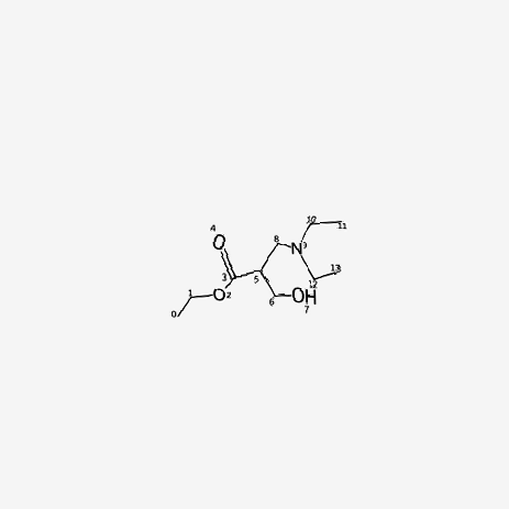 CCOC(=O)C(CO)CN(CC)CC